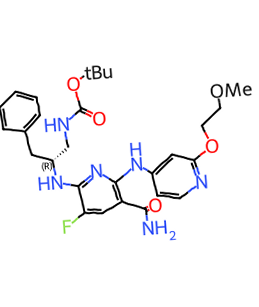 COCCOc1cc(Nc2nc(N[C@@H](CNC(=O)OC(C)(C)C)Cc3ccccc3)c(F)cc2C(N)=O)ccn1